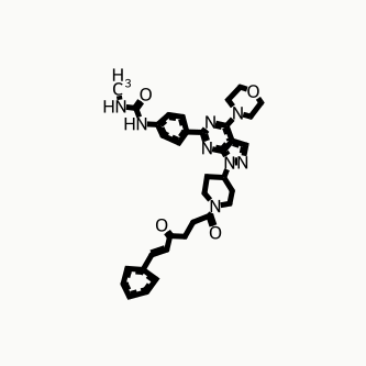 CNC(=O)Nc1ccc(-c2nc(N3CCOCC3)c3cnn(C4CCN(C(=O)CCC(=O)C=Cc5ccccc5)CC4)c3n2)cc1